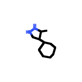 CC1NNCC1C1CCCCCC1